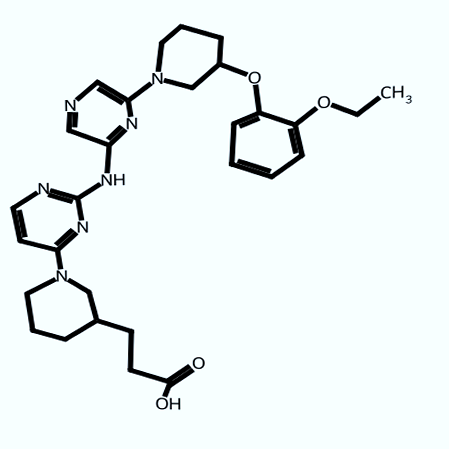 CCOc1ccccc1OC1CCCN(c2cncc(Nc3nccc(N4CCCC(CCC(=O)O)C4)n3)n2)C1